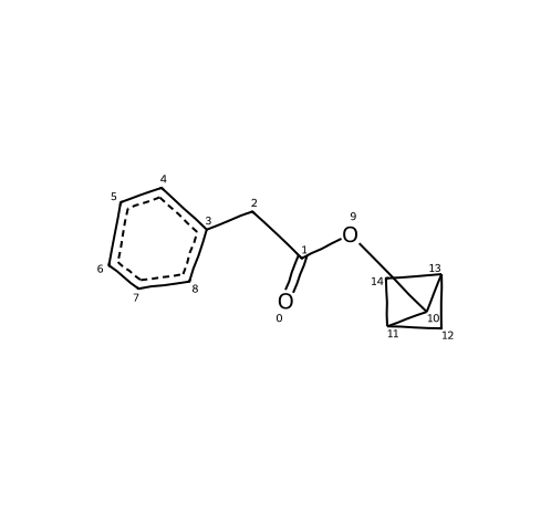 O=C(Cc1ccccc1)OC1C2CC1C2